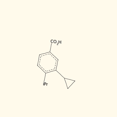 CC(C)c1ccc(C(=O)O)cc1C1CC1